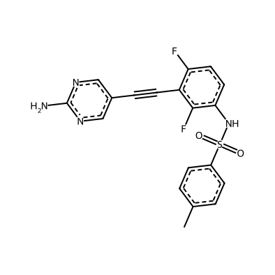 Cc1ccc(S(=O)(=O)Nc2ccc(F)c(C#Cc3cnc(N)nc3)c2F)cc1